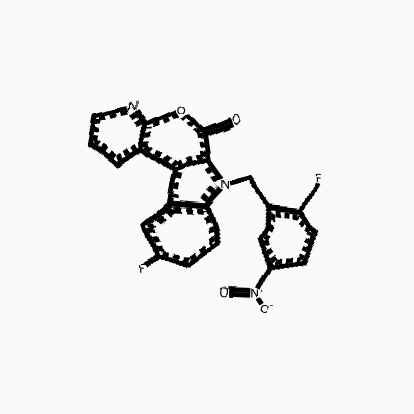 O=c1oc2ncccc2c2c3cc(F)ccc3n(Cc3cc([N+](=O)[O-])ccc3F)c12